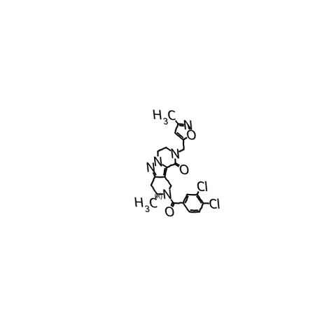 Cc1cc(CN2CCn3nc4c(c3C2=O)CN(C(=O)c2ccc(Cl)c(Cl)c2)[C@H](C)C4)on1